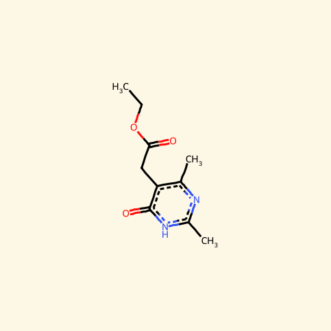 CCOC(=O)Cc1c(C)nc(C)[nH]c1=O